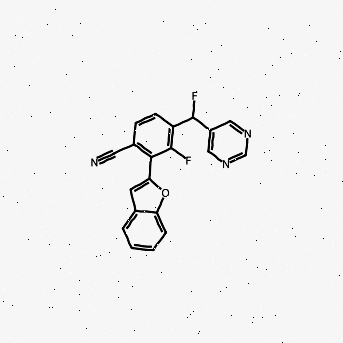 N#Cc1ccc(C(F)c2cncnc2)c(F)c1-c1cc2ccccc2o1